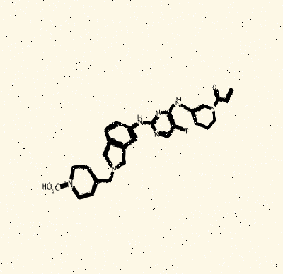 C=CC(=O)N1CCCC(Nc2nc(Nc3ccc4c(c3)CN(CC3CCN(C(=O)O)CC3)C4)ncc2F)C1